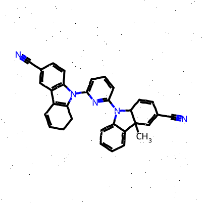 CC12C=C(C#N)C=CC1N(c1cccc(-n3c4c(c5cc(C#N)ccc53)C=CCC4)n1)c1ccccc12